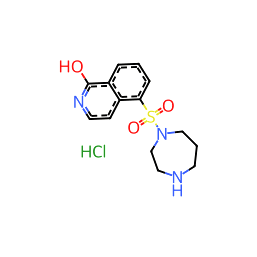 Cl.O=S(=O)(c1cccc2c(O)nccc12)N1CCCNCC1